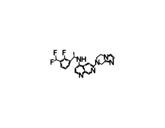 C[C@@H](Nc1ccnc2cnc(N3CCn4ccnc4C3)cc12)c1cccc(C(F)F)c1F